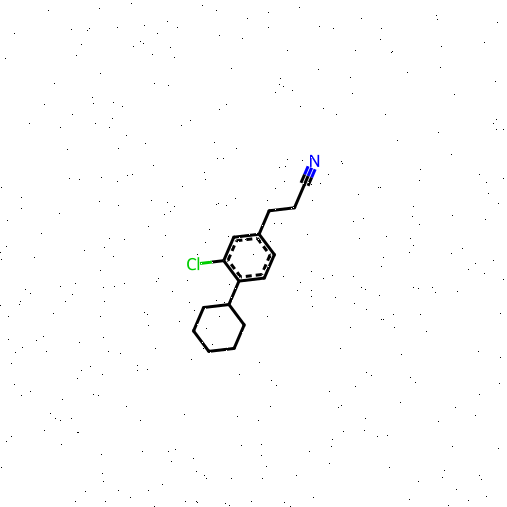 N#CCCc1ccc(C2CCCCC2)c(Cl)c1